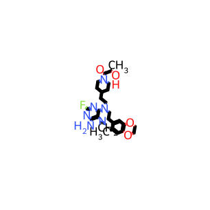 C=Nc1c(N)nc(F)nc1N(CCc1cc2c(cc1C)OCCO2)CCC1CCN(C(=O)[C@H](C)O)CC1